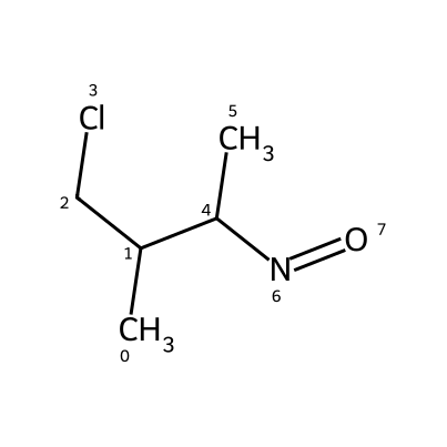 CC(CCl)C(C)N=O